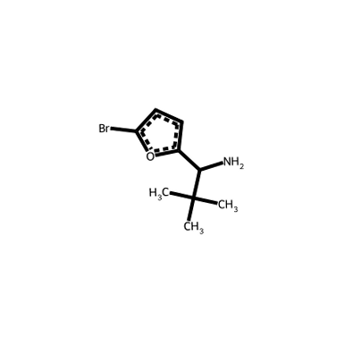 CC(C)(C)C(N)c1ccc(Br)o1